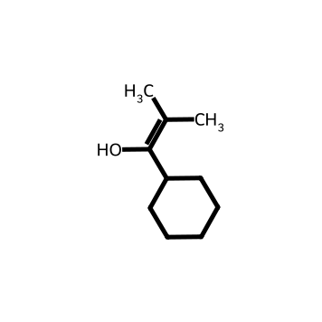 CC(C)=C(O)C1CCCCC1